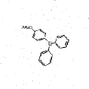 COc1cc[c]([Bi]([c]2ccccc2)[c]2ccccc2)cc1